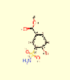 COC(=O)c1ccc(Br)c(S(N)(=O)=O)c1